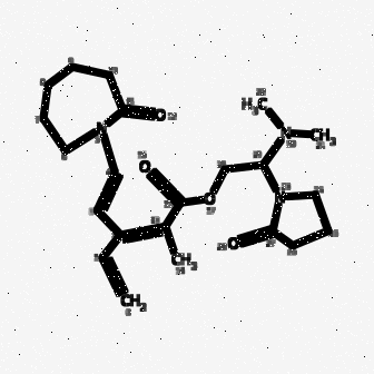 C=CC(C=CN1CCCCCC1=O)=C(C)C(=O)OCC(N(C)C)N1CCCC1=O